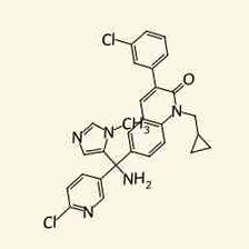 Cn1cncc1C(N)(c1ccc(Cl)nc1)c1ccc2c(c1)cc(-c1cccc(Cl)c1)c(=O)n2CC1CC1